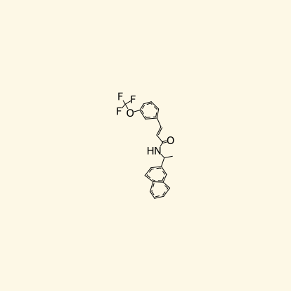 CC(NC(=O)C=Cc1cccc(OC(F)(F)F)c1)c1ccc2ccccc2c1